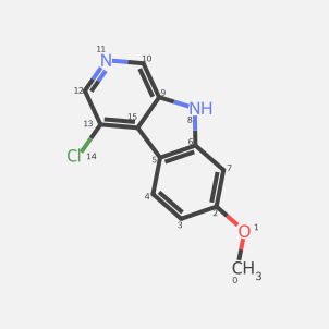 COc1ccc2c(c1)[nH]c1cncc(Cl)c12